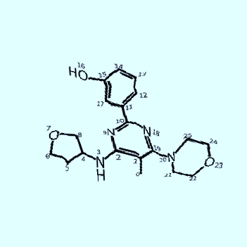 Cc1c(NC2CCOC2)nc(-c2cccc(O)c2)nc1N1CCOCC1